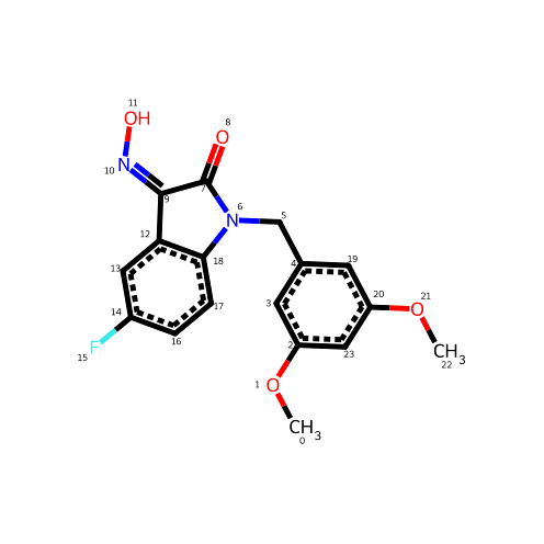 COc1cc(CN2C(=O)/C(=N\O)c3cc(F)ccc32)cc(OC)c1